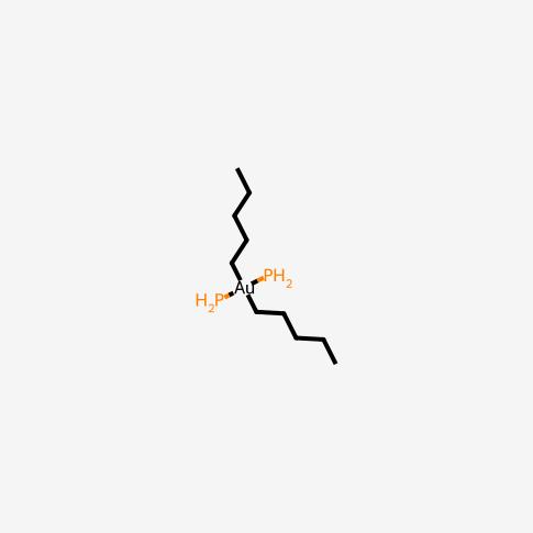 CCCC[CH2][Au]([PH2])([PH2])[CH2]CCCC